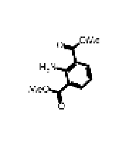 COC(=O)c1cccc(C(=O)OC)c1N